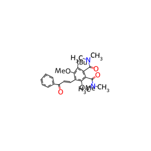 COc1c(C=CC(=O)c2ccccc2)c(OC)c(C(C)(C)C)c(C(=O)N(C)C)c1C(=O)N(C)C